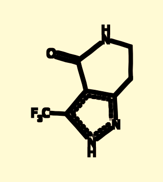 O=C1NCCc2n[nH]c(C(F)(F)F)c21